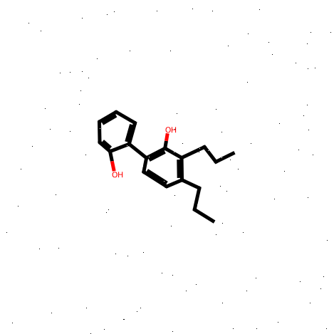 CCCc1ccc(-c2ccccc2O)c(O)c1CCC